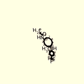 C=CC(=O)NC1CCCCCC(C)(Bc2ccc(C(F)(F)F)cc2)CCC1